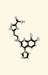 O=C(O)c1noc(CCNc2cc(-n3ccnc3)c3ccc(Cl)c(Cl)c3n2)n1